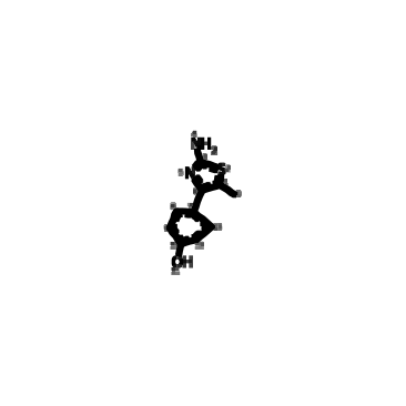 Cc1sc(N)nc1-c1ccc(O)cc1